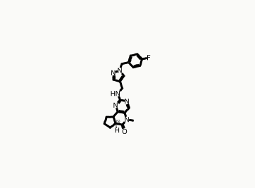 CN1C(=O)[C@H]2CCCC2c2nc(NCc3cnn(Cc4ccc(F)cc4)c3)ncc21